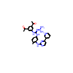 CC(=O)c1cc(NC(=NN(N)N)Nc2ccc(C)c(Nc3nccc(-c4cccnc4)n3)c2)cc(C(C)=O)c1